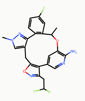 CC1Oc2cc(cnc2N)-c2c(CC(F)F)noc2Cc2cn(C)nc2-c2ccc(F)cc21